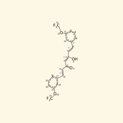 O=C(/C=C(O)/C=C/c1cccc(OC(F)(F)F)c1)/C=C/c1cccc(OC(F)(F)F)c1